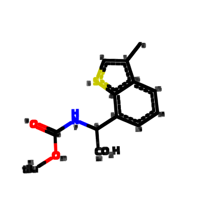 Cc1csc2c(C(NC(=O)OC(C)(C)C)C(=O)O)cccc12